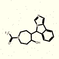 O=C(N1CCC(O)C(C2c3ccccc3-c3cncn32)CC1)C(F)(F)F